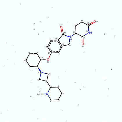 CC(=O)N1CCCCC1C1CN([C@H]2CCCC[C@@H]2Oc2ccc3c(c2)CN(C2CCC(=O)NC2=O)C3=O)C1